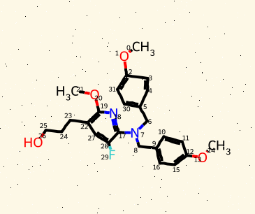 COc1ccc(CN(Cc2ccc(OC)cc2)c2nc(OC)c(CCCO)cc2F)cc1